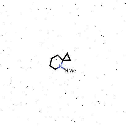 CNN1CCCCC12CC2